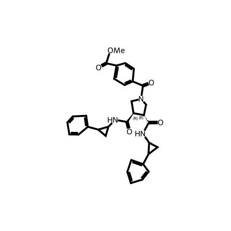 COC(=O)c1ccc(C(=O)N2C[C@H](C(=O)NC3CC3c3ccccc3)[C@@H](C(=O)NC3CC3c3ccccc3)C2)cc1